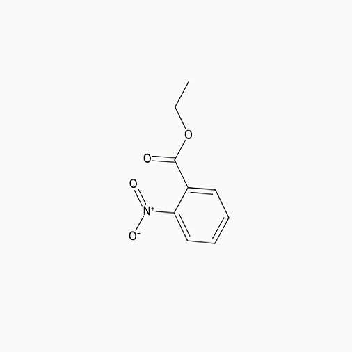 CCOC(=O)c1ccccc1[N+](=O)[O-]